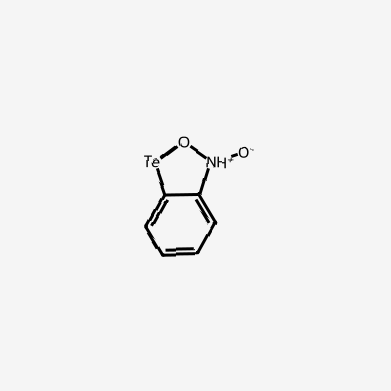 [O-][NH+]1O[Te]c2ccccc21